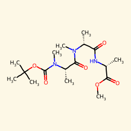 COC(=O)[C@@H](C)NC(=O)[C@@H](C)N(C)C(=O)[C@H](C)N(C)C(=O)OC(C)(C)C